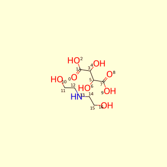 O=C(O)C(O)C(O)C(=O)O.OCCNCCO